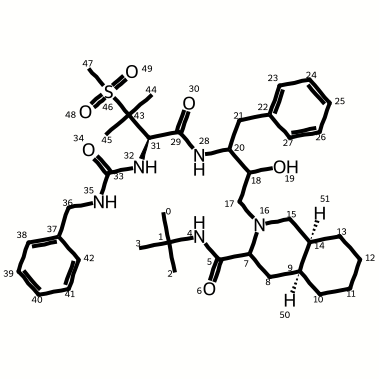 CC(C)(C)NC(=O)C1C[C@@H]2CCCC[C@@H]2CN1CC(O)C(Cc1ccccc1)NC(=O)[C@@H](NC(=O)NCc1ccccc1)C(C)(C)S(C)(=O)=O